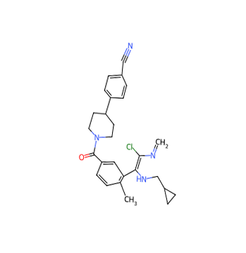 C=N/C(Cl)=C(\NCC1CC1)c1cc(C(=O)N2CCC(c3ccc(C#N)cc3)CC2)ccc1C